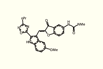 CCCc1noc(-c2[nH]c3ccc(OC)cc3c2C=C2Oc3ccc(NC(=O)NC)cc3C2=O)n1